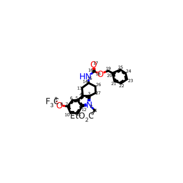 CCOC(=O)Cn1c2c(c3cc(OC(F)(F)F)ccc31)CC(NC(=O)OCc1ccccc1)CC2